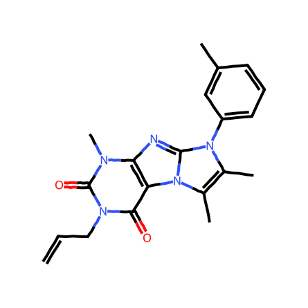 C=CCn1c(=O)c2c(nc3n(-c4cccc(C)c4)c(C)c(C)n23)n(C)c1=O